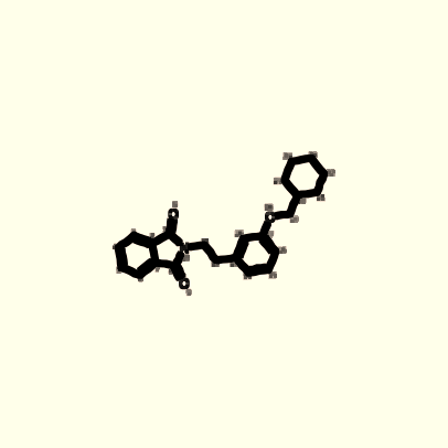 O=C1c2ccccc2C(=O)N1CCc1cccc(OCC2CCCCC2)c1